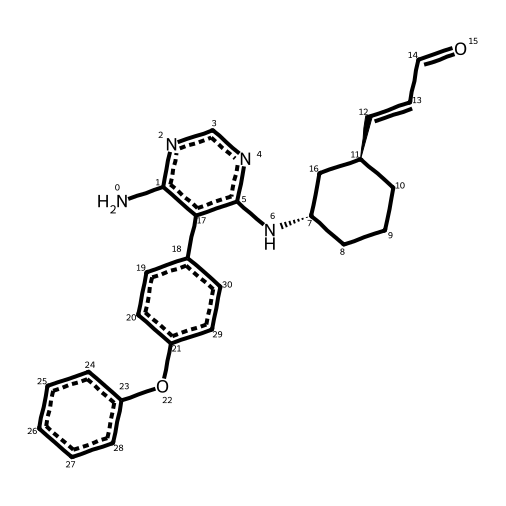 Nc1ncnc(N[C@H]2CCC[C@H](C=CC=O)C2)c1-c1ccc(Oc2ccccc2)cc1